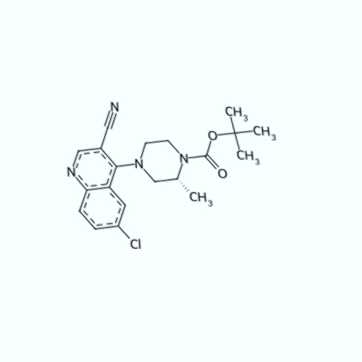 C[C@@H]1CN(c2c(C#N)cnc3ccc(Cl)cc23)CCN1C(=O)OC(C)(C)C